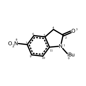 CCC(C)N1C(=O)Cc2cc([N+](=O)[O-])ccc21